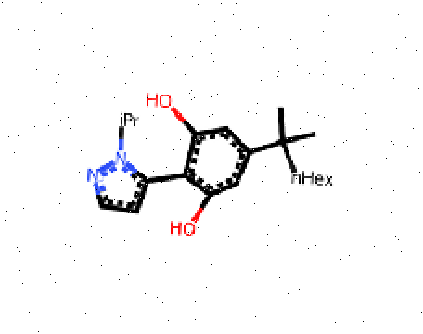 CCCCCCC(C)(C)c1cc(O)c(-c2ccnn2C(C)C)c(O)c1